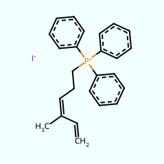 C=CC(C)=CCC[P+](c1ccccc1)(c1ccccc1)c1ccccc1.[I-]